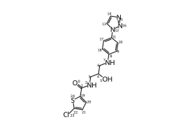 O=C(NCC(O)CNc1ccc(-n2ccnn2)cc1)c1ccc(Cl)s1